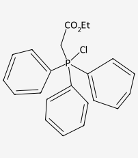 CCOC(=O)CP(Cl)(c1ccccc1)(c1ccccc1)c1ccccc1